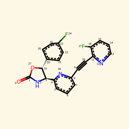 O=C1N[C@H](c2cccc(C#Cc3ncccc3F)n2)[C@@H](c2ccc(F)cc2)O1